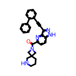 O=C(c1ccc2[nH]nc(C#Cc3ccccc3-c3ccccc3)c2n1)N1CC2(CCCNC2)C1